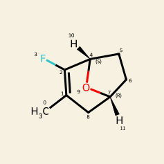 CC1=C(F)[C@@H]2CC[C@H](C1)O2